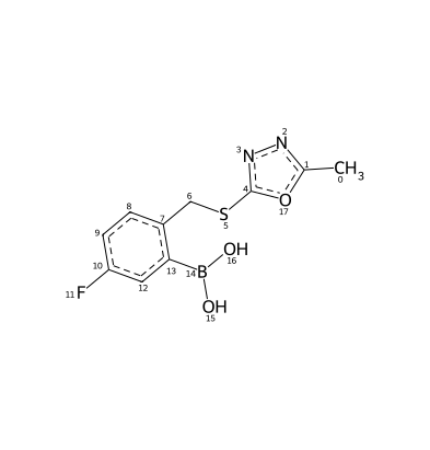 Cc1nnc(SCc2ccc(F)cc2B(O)O)o1